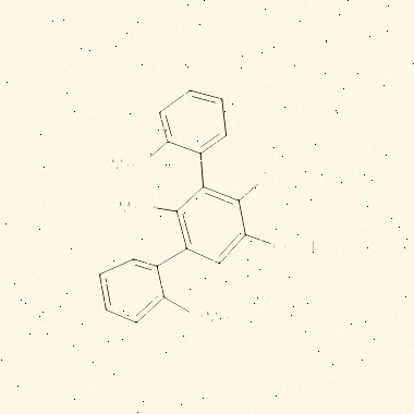 COc1ccccc1-c1cc(C(=O)O)c(C(C)=O)c(-c2ccccc2OC)c1OC